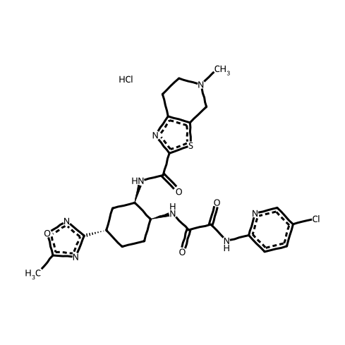 Cc1nc([C@H]2CC[C@H](NC(=O)C(=O)Nc3ccc(Cl)cn3)[C@H](NC(=O)c3nc4c(s3)CN(C)CC4)C2)no1.Cl